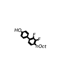 CCCCCCCCc1ccc(-c2ccc(O)cc2)c(F)c1F